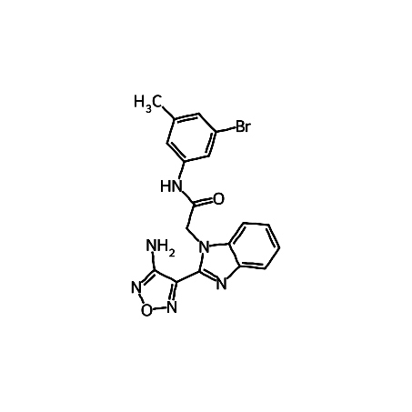 Cc1cc(Br)cc(NC(=O)Cn2c(-c3nonc3N)nc3ccccc32)c1